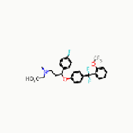 CN(CCC(Oc1ccc(C(F)(F)c2ccccc2OC(F)(F)F)cc1)c1ccc(F)cc1)CC(=O)O